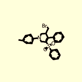 Cc1ccc(N2CC(S(=O)(=O)c3ccccc3)=C(c3ccccc3)C(CBr)C2)cc1